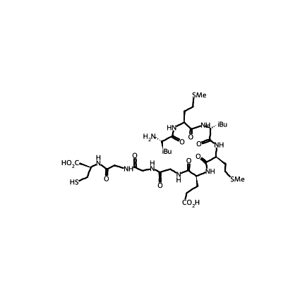 CC[C@H](C)[C@H](N)C(=O)N[C@@H](CCSC)C(=O)N[C@H](C(=O)N[C@@H](CCSC)C(=O)N[C@@H](CCC(=O)O)C(=O)NCC(=O)NCC(=O)NCC(=O)N[C@@H](CS)C(=O)O)[C@@H](C)CC